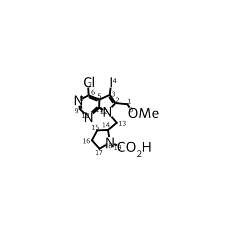 COCc1c(I)c2c(Cl)ncnc2n1CC1CCCN1C(=O)O